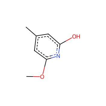 COc1cc(C)cc(O)n1